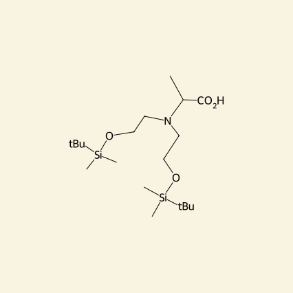 CC(C(=O)O)N(CCO[Si](C)(C)C(C)(C)C)CCO[Si](C)(C)C(C)(C)C